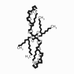 CCCCCCCCC(CCCCCC)CN1C(=O)C2=C(c3ncc(-c4cc(CCCCCC)c(-c5ccc(-c6ccc(-c7cccs7)s6)s5)s4)s3)N(CC(CCCCCC)CCCCCCCC)C(=O)C2=C1c1ncc(-c2cc(CCCCCC)c(-c3ccc(-c4ccc(-c5cccs5)s4)s3)s2)s1